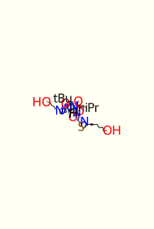 CC(C)C[C@H]1ON(C(=O)/C=C/c2nc(C#CCCCCO)cs2)[C@H]2CN([C@H]3CCN(CCCCO)C3)C(=O)[C@H](CC(C)(C)C)N2C1=O